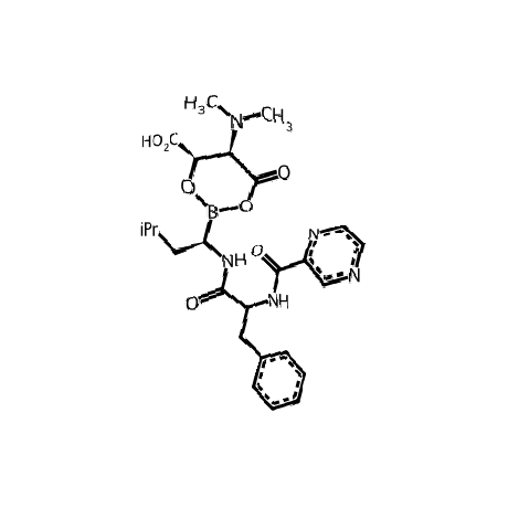 CC(C)C[C@H](NC(=O)C(Cc1ccccc1)NC(=O)c1cnccn1)B1OC(=O)[C@H](N(C)C)[C@H](C(=O)O)O1